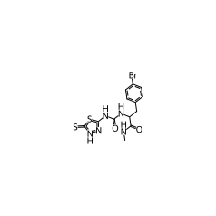 CNC(=O)C(Cc1ccc(Br)cc1)NC(=O)Nc1n[nH]c(=S)s1